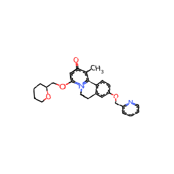 Cc1c2n(c(OCC3CCCCO3)cc1=O)CCc1cc(OCc3ccccn3)ccc1-2